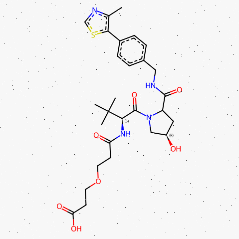 Cc1ncsc1-c1ccc(CNC(=O)C2C[C@@H](O)CN2C(=O)[C@@H](NC(=O)CCOCCC(=O)O)C(C)(C)C)cc1